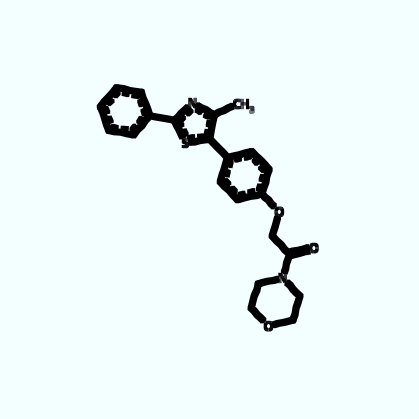 Cc1nc(-c2ccccc2)sc1-c1ccc(OCC(=O)N2CCOCC2)cc1